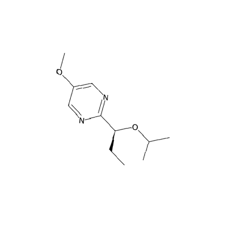 CC[C@H](OC(C)C)c1ncc(OC)cn1